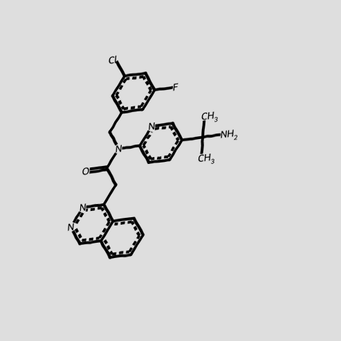 CC(C)(N)c1ccc(N(Cc2cc(F)cc(Cl)c2)C(=O)Cc2nncc3ccccc23)nc1